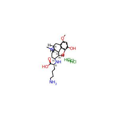 COc1cc(O)c2c3c1C[C@@H]1[C@@H]4CC[C@H](N[C@@H](CCCCN)C(=O)O)[C@H](O2)[C@]34CCN1C.Cl.Cl.Cl